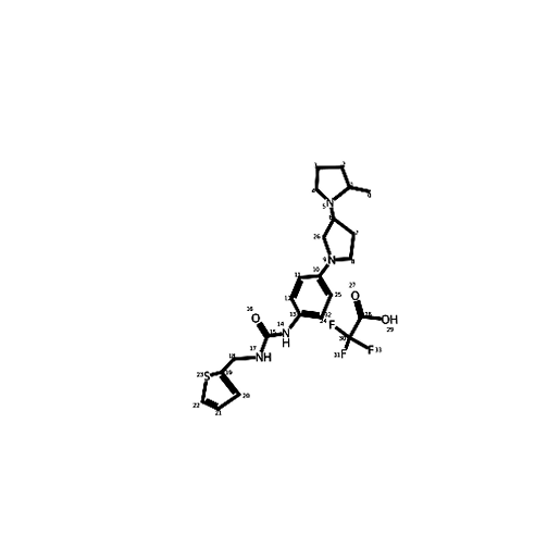 CC1CCCN1C1CCN(c2ccc(NC(=O)NCc3cccs3)cc2)C1.O=C(O)C(F)(F)F